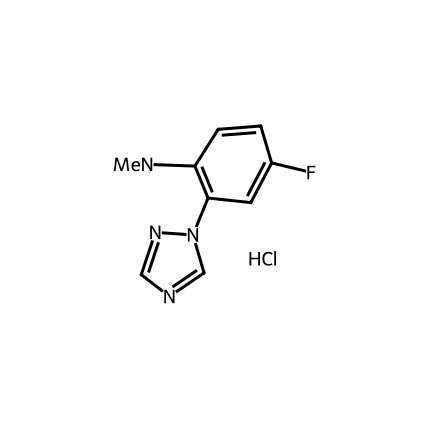 CNc1ccc(F)cc1-n1cncn1.Cl